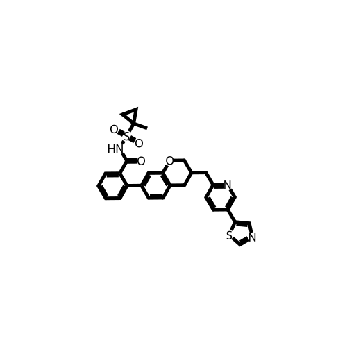 CC1(S(=O)(=O)NC(=O)c2ccccc2-c2ccc3c(c2)OCC(Cc2ccc(-c4cncs4)cn2)C3)CC1